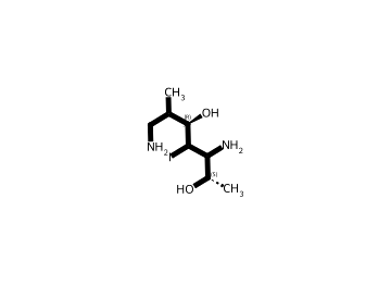 CC(CN)[C@@H](O)C(I)C(N)[C@H](C)O